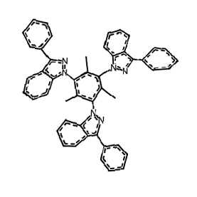 Cc1c(-n2nc(-c3ccccc3)c3ccccc32)c(C)c(-n2nc(-c3ccccc3)c3ccccc32)c(C)c1-n1nc(-c2ccccc2)c2ccccc21